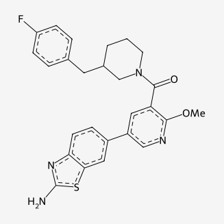 COc1ncc(-c2ccc3nc(N)sc3c2)cc1C(=O)N1CCCC(Cc2ccc(F)cc2)C1